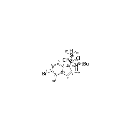 CC1=Cc2c(ccc(Br)c2C)[CH]1[Zr]([Cl])([Cl])([NH]C(C)(C)C)[SiH](C)C